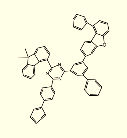 CC1(C)c2ccccc2-c2c(-c3nc(-c4ccc(-c5ccccc5)cc4)nc(-c4cc(-c5ccccc5)cc(-c5ccc6c(c5)oc5cccc(-c7ccccc7)c56)c4)n3)cccc21